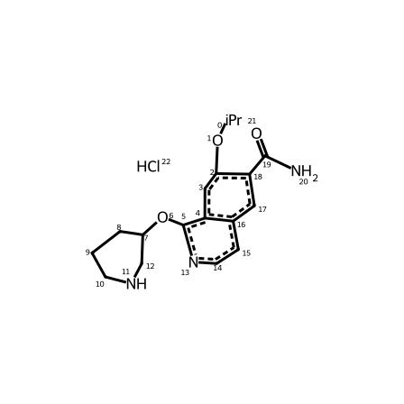 CC(C)Oc1cc2c(OC3CCCNC3)nccc2cc1C(N)=O.Cl